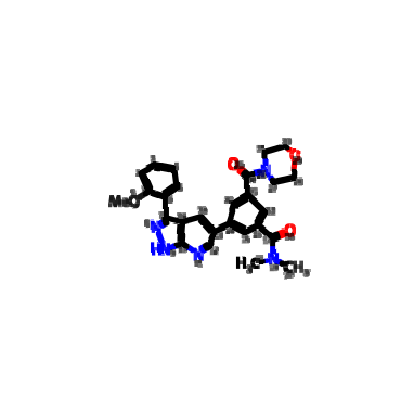 COc1ccccc1-c1n[nH]c2ncc(-c3cc(C(=O)N(C)C)cc(C(=O)N4CCOCC4)c3)cc12